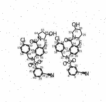 N#Cc1cccc(S(=O)(=O)N(Cc2ccc(Cl)cc2)c2ccc(F)c(C(=O)N3CCCC(O)C3)c2)c1.N#Cc1cccc(S(=O)(=O)N(Cc2ccc(Cl)cc2)c2ccc(F)c(C(=O)N3CC[C@@H](O)C3)c2)c1